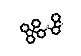 c1ccc(C2(c3cccc(Nc4cccc5oc6ccccc6c45)c3)c3ccccc3-c3ccccc32)cc1